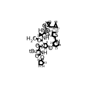 C=C[C@@H]1C[C@]1(NC(=O)[C@@H]1C[C@@H](Oc2ccnc(-c3cccs3)c2)CN1C(=O)C(NC(=O)OC1CCCC1)C(C)(C)C)C(=O)NS(=O)(=O)C1(CC2CC2)CC1